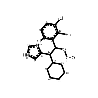 O=COC(c1c(I)ccc(Cl)c1F)C(c1c[nH]cn1)C1CCCCC1